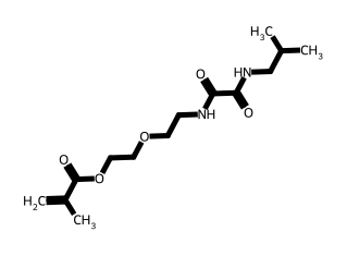 C=C(C)C(=O)OCCOCCNC(=O)C(=O)NCC(C)C